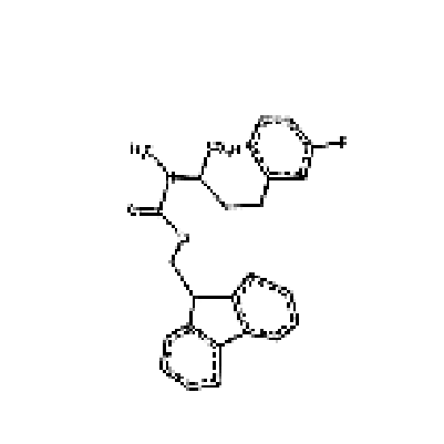 CN(C(=O)OCC1c2ccccc2-c2ccccc21)C(CCc1cccc(F)c1)C(=O)O